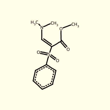 COC(=O)C(=CN(C)C)S(=O)(=O)c1ccccc1